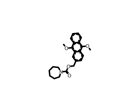 COc1c2ccccc2c(OC)c2cc(COC(=O)N3CCCCCC3)ccc12